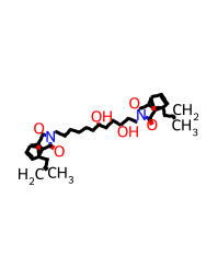 C=C(C)CC12C=CC(C1)C1C(=O)N(CCCCCCC(O)CCC(O)CCN3C(=O)C4C5C=CC(CC(=C)C)(C5)C4C3=O)C(=O)C12